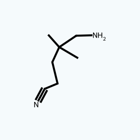 CC(C)(CN)CCC#N